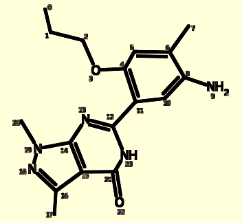 CCCOc1cc(C)c(N)cc1-c1nc2c(c(C)nn2C)c(=O)[nH]1